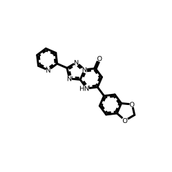 O=c1cc(-c2ccc3c(c2)OCO3)[nH]c2nc(-c3ccccn3)nn12